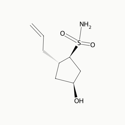 C=CC[C@H]1C[C@H](O)C[C@@H]1S(N)(=O)=O